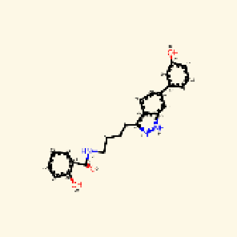 O=C(NCCCCc1n[nH]c2cc(-c3cccc(O)c3)ccc12)c1ccccc1O